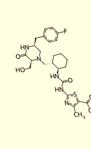 CC(=O)c1sc(NC(=O)N[C@@H]2CCCC[C@H]2CN2C[C@H](Cc3ccc(F)cc3)NC(=O)[C@@H]2CO)nc1C